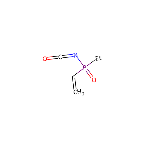 C=CP(=O)(CC)N=C=O